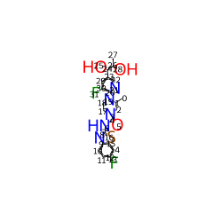 CC1CN(C(=O)Nc2nc3ccc(F)cc3s2)CCN1c1ncc([C@@H](O)[C@@H](C)O)cc1F